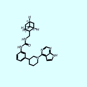 CC1(C)[C@@H]2CCC(CNC(=O)Nc3cccc(C4CCCN(c5ncnc6[nH]ccc56)C4)c3)[C@H]1C2